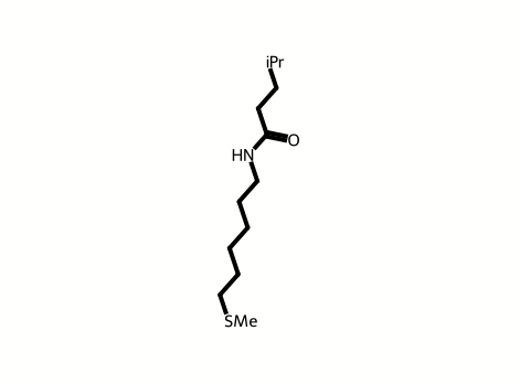 CSCCCCCCNC(=O)CCC(C)C